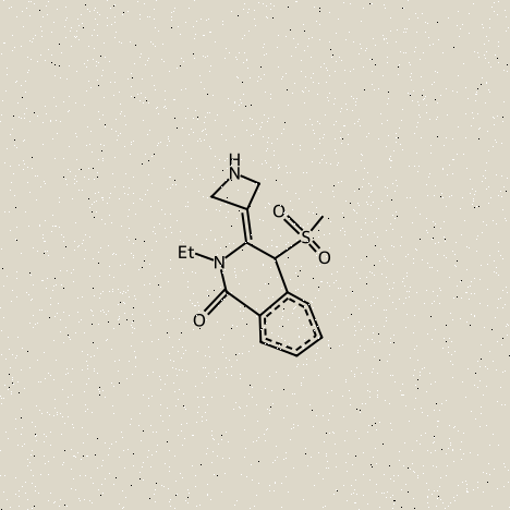 CCN1C(=O)c2ccccc2C(S(C)(=O)=O)C1=C1CNC1